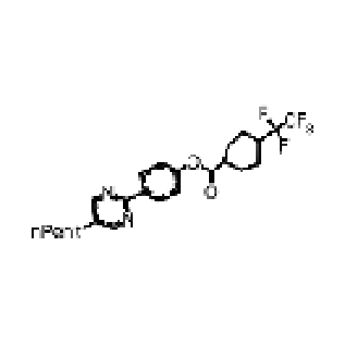 CCCCCc1cnc(-c2ccc(OC(=O)C3CCC(C(F)(F)C(F)(F)F)CC3)cc2)nc1